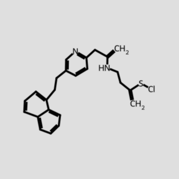 C=C(Cc1ccc(CCc2cccc3ccccc23)cn1)NCCC(=C)SCl